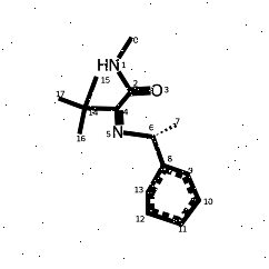 CNC(=O)C(=N[C@H](C)c1ccccc1)C(C)(C)C